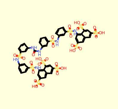 O=C(Nc1cccc(S(=O)(=O)Nc2cccc(S(=O)(=O)Nc3cc(S(=O)(=O)O)cc4cc(S(=O)(=O)O)cc(S(=O)(=O)O)c34)c2)c1)Nc1cccc(S(=O)(=O)Nc2cccc(S(=O)(=O)Nc3cc(S(=O)(=O)O)cc4cc(S(=O)(=O)O)cc(S(=O)(=O)O)c34)c2)c1